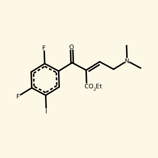 CCOC(=O)/C(=C\CN(C)C)C(=O)c1cc(I)c(F)cc1F